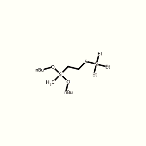 CCCCO[Si](C)(CCS[Si](CC)(CC)CC)OCCCC